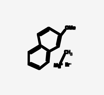 COc1ccc2ccccc2c1.[Br-].[CH3][Mg+]